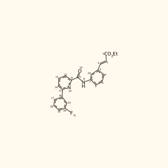 CCOC(=O)C=Cc1cccc(NC(=O)c2cccc(-c3cccc(F)c3)n2)c1